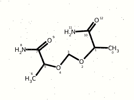 CC(OCOC(C)C(N)=O)C(N)=O